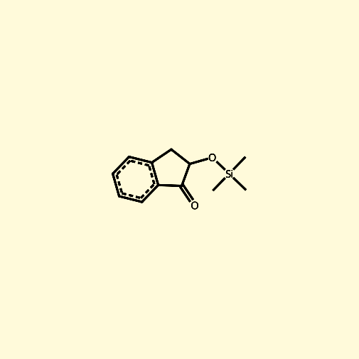 C[Si](C)(C)OC1Cc2ccccc2C1=O